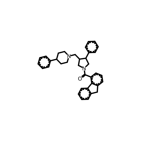 O=C(c1cccc2c1-c1ccccc1C2)N1CC(CN2CCC(c3ccccc3)CC2)C(c2ccccc2)C1